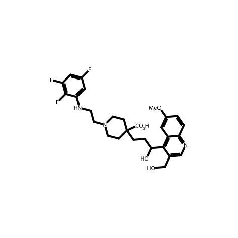 COc1ccc2ncc(CO)c(C(O)CCC3(C(=O)O)CCN(CCNc4cc(F)cc(F)c4F)CC3)c2c1